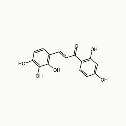 O=C(C=Cc1ccc(O)c(O)c1O)c1ccc(O)cc1O